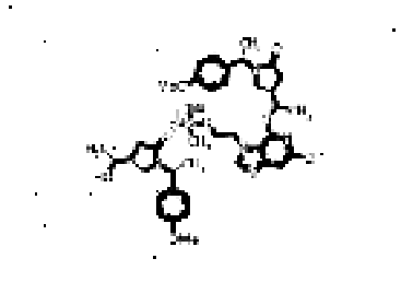 COc1ccc([C@@H](C)N2C[C@H]([C@@H](C)O)CC2=O)cc1.COc1ccc([C@@H](C)N2C[C@H]([C@@H](C)Oc3nc(Cl)cc4ncn(CCO[Si](C)(C)C(C)(C)C)c34)CC2=O)cc1